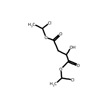 CC(Cl)OC(=O)CC(O)C(=O)OC(C)Cl